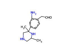 CC1CNCC(C)(c2ccc(CC=O)c(N)c2)N1